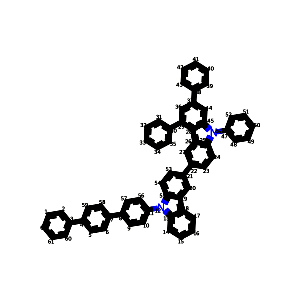 c1ccc(-c2ccc(-c3ccc(-n4c5ccccc5c5cc(-c6ccc7c(c6)c6c(-c8ccccc8)cc(-c8ccccc8)cc6n7-c6ccccc6)ccc54)cc3)cc2)cc1